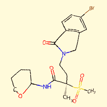 C[C@@](CCN1Cc2cc(Br)ccc2C1=O)(C(=O)NC1CCCCO1)S(C)(=O)=O